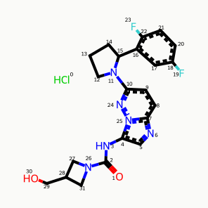 Cl.O=C(Nc1cnc2ccc(N3CCCC3c3cc(F)ccc3F)nn12)N1CC(CO)C1